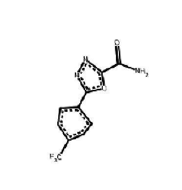 NC(=O)c1nnc(-c2ccc(C(F)(F)F)cc2)o1